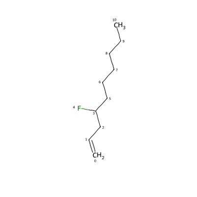 C=CCC(F)CCCCCC